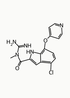 CN(C(=N)N)C(=O)c1cc2c(Cl)ccc(Oc3ccncc3)c2[nH]1